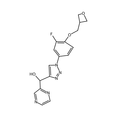 OC(c1cnccn1)c1cn(-c2ccc(OCC3COC3)c(F)c2)nn1